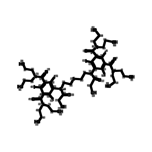 O=C(c1c(I)c(C(=O)N(CCO)CCO)c(I)c(N(CCSCCN(C(=O)CO)c2c(I)c(C(=O)N(CCO)CCO)c(I)c(C(=O)N(CCO)CCO)c2I)C(=O)CO)c1I)N(CCO)CCO